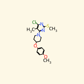 COc1ccc(OC2CCN(c3nc(SC)nc(Cl)c3C)CC2)cc1